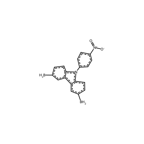 Bc1ccc2c(c1)c1cc(B)ccc1n2-c1ccc([N+](=O)[O-])cc1